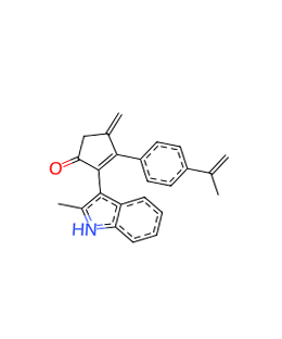 C=C1CC(=O)C(c2c(C)[nH]c3ccccc23)=C1c1ccc(C(=C)C)cc1